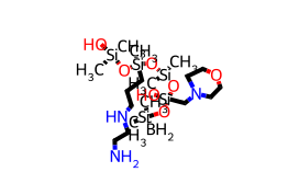 B[Si](C)(C)O[Si](O)(CN1CCOCC1)O[Si](C)(C)O[Si](C)(CCCNCCN)O[Si](C)(C)O